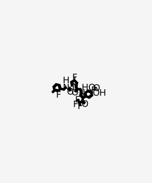 Cc1cccc(CNC(=O)[C@@H]2C[C@@H](F)CN2C(=O)Cn2cc(C(=O)C(F)(F)F)c3ccc(P(=O)(O)O)cc32)c1F